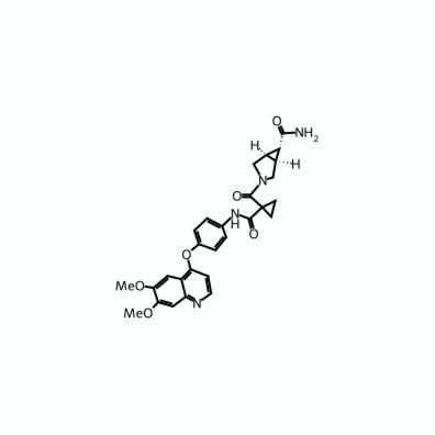 COc1cc2nccc(Oc3ccc(NC(=O)C4(C(=O)N5C[C@@H]6[C@H](C5)[C@H]6C(N)=O)CC4)cc3)c2cc1OC